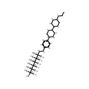 CCCC1CCC(C2CCC(c3ccc(CCC(F)(F)C(F)(F)C(F)(F)C(F)(F)C(F)(F)C(F)(F)F)cc3)CC2)CC1